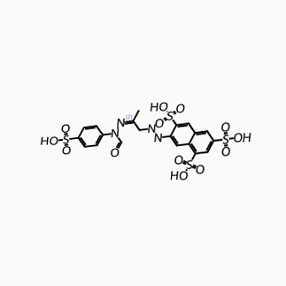 C/C(CN=Nc1cc2c(S(=O)(=O)O)cc(S(=O)(=O)O)cc2cc1S(=O)(=O)O)=N/N(C=O)c1ccc(S(=O)(=O)O)cc1